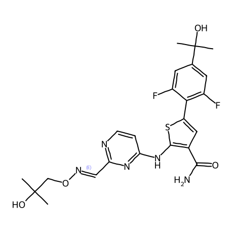 CC(C)(O)CO/N=C/c1nccc(Nc2sc(-c3c(F)cc(C(C)(C)O)cc3F)cc2C(N)=O)n1